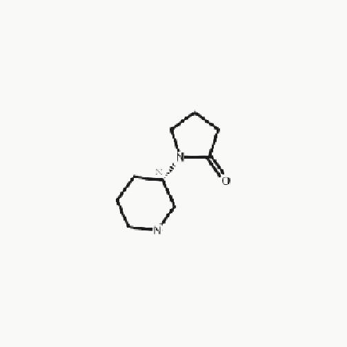 O=C1CCCN1[C@H]1CCC[N]C1